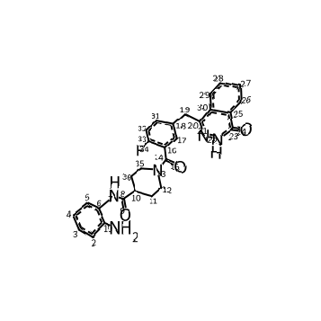 Nc1ccccc1NC(=O)C1CCN(C(=O)c2cc(Cc3n[nH]c(=O)c4ccccc34)ccc2F)CC1